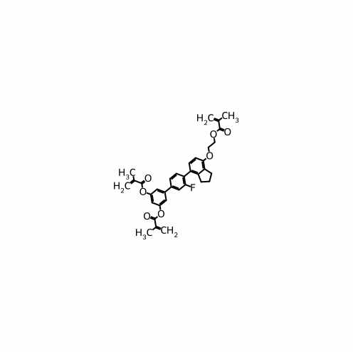 C=C(C)C(=O)OCCOc1ccc(-c2ccc(-c3cc(OC(=O)C(=C)C)cc(OC(=O)C(=C)C)c3)cc2F)c2c1CCC2